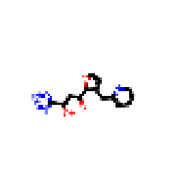 O=C(C=C(O)c1nn[nH]n1)c1occc1Cc1ccccn1